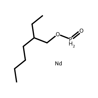 CCCCC(CC)CO[PH2]=O.[Nd]